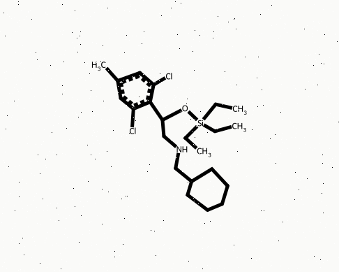 CC[Si](CC)(CC)OC(CNCC1CCCCC1)c1c(Cl)cc(C)cc1Cl